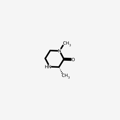 C[C@@H]1NCCN(C)C1=O